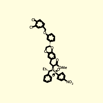 CC[C@@H](c1ccccc1)N(C(Cc1ccc2c(c1)OC[C@H](c1cccc(OCc3ccc(Cl)c(Cl)c3)c1)O2)C(=O)OC)S(=O)(=O)c1ccc([N+](=O)[O-])cc1